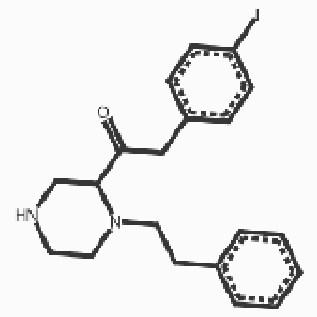 O=C(Cc1ccc(I)cc1)C1CNCCN1CCc1ccccc1